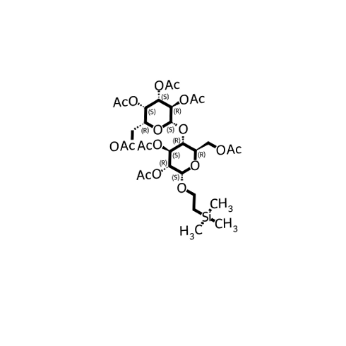 CC(=O)OC[C@H]1O[C@@H](O[C@H]2[C@H](OC(C)=O)[C@@H](OC(C)=O)[C@@H](OCC[Si](C)(C)C)O[C@@H]2COC(C)=O)[C@H](OC(C)=O)[C@@H](OC(C)=O)[C@H]1OC(C)=O